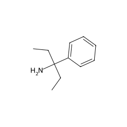 CCC(N)(CC)c1ccccc1